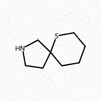 [CH]1NCCC12CCCCS2